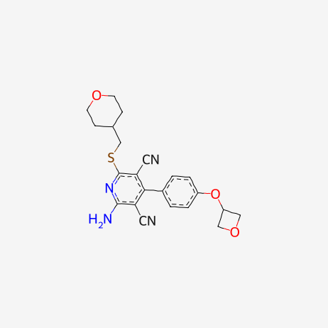 N#Cc1c(N)nc(SCC2CCOCC2)c(C#N)c1-c1ccc(OC2COC2)cc1